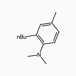 CCCCc1cc(C)ccc1N(C)C